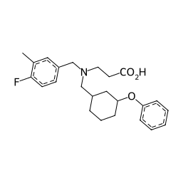 Cc1cc(CN(CCC(=O)O)CC2CCCC(Oc3ccccc3)C2)ccc1F